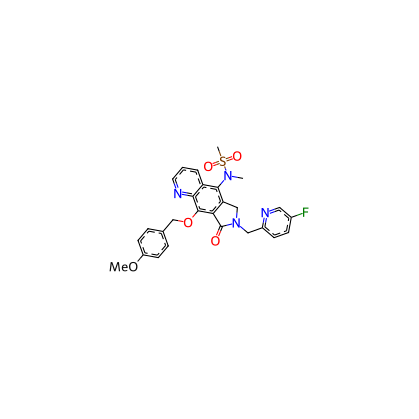 COc1ccc(COc2c3c(c(N(C)S(C)(=O)=O)c4cccnc24)CN(Cc2ccc(F)cn2)C3=O)cc1